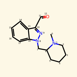 CN1CCCCC1Cn1nc(C=O)c2ccccc21